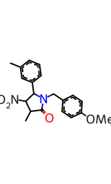 COc1ccc(CN2C(=O)C(C)C([N+](=O)[O-])C2c2cccc(C)c2)cc1